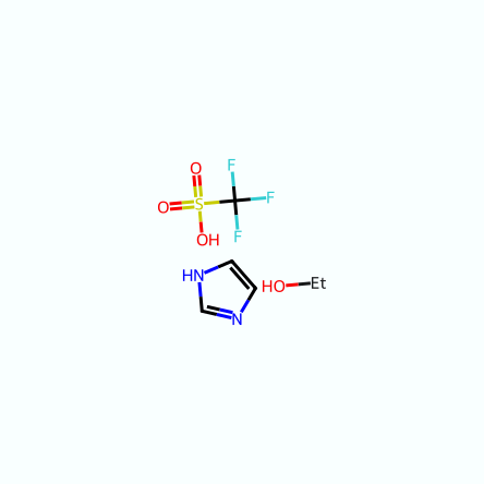 CCO.O=S(=O)(O)C(F)(F)F.c1c[nH]cn1